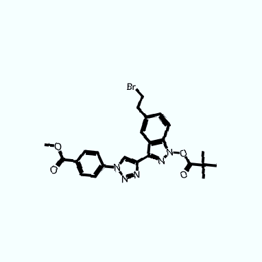 COC(=O)c1ccc(-n2cc(-c3nn(OC(=O)C(C)(C)C)c4ccc(CCBr)cc34)nn2)cc1